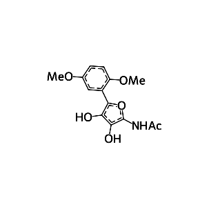 COc1ccc(OC)c(-c2oc(NC(C)=O)c(O)c2O)c1